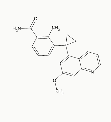 COc1cc(C2(c3cccc(C(N)=O)c3C)CC2)c2cccnc2c1